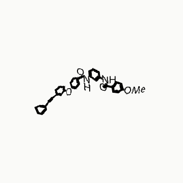 COc1ccc(C(=O)Nc2cccc(NC(=O)c3ccc(Oc4cccc(C#Cc5ccccc5)c4)cc3)c2)cc1